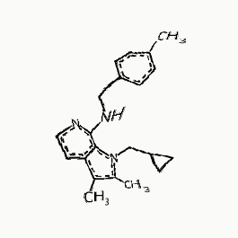 Cc1ccc(CNc2nccc3c(C)c(C)n(CC4CC4)c23)cc1